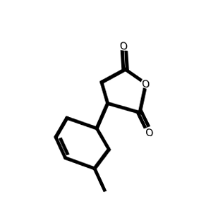 CC1C=CCC(C2CC(=O)OC2=O)C1